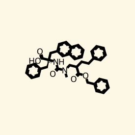 CN(CC(CCc1ccccc1)C(=O)OCc1ccccc1)C(=O)N[C@@](Cc1ccccc1)(Cc1ccc2ccccc2c1)C(=O)O